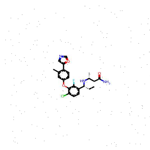 CC[C@@H](N[C@H](C)CC(N)=O)c1ccc(Cl)c(Oc2ccc(-c3cnco3)c(C)c2)c1F